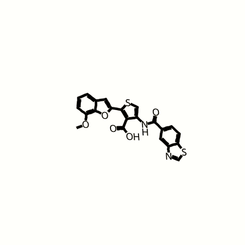 COc1cccc2cc(-c3scc(NC(=O)c4ccc5scnc5c4)c3C(=O)O)oc12